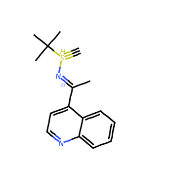 C#[SH](/N=C(\C)c1ccnc2ccccc12)C(C)(C)C